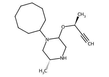 C#C[C@H](C)OC1CN[C@H](C)CN1C1CCCCCCC1